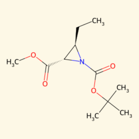 CC[C@@H]1[C@@H](C(=O)OC)N1C(=O)OC(C)(C)C